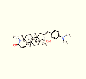 CN(C)c1ccc(C=C2C[C@H]3[C@@H]4CC[C@H]5N(C)C(=O)C=C[C@]5(C)[C@H]4CC[C@]3(C)[C@H]2O)cc1